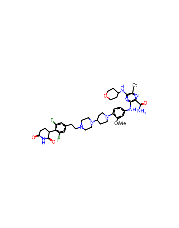 CCc1nc(C(N)=O)c(Nc2ccc(N3CCC(N4CCN(CCc5cc(F)c(C6CCC(=O)NC6=O)c(F)c5)CC4)CC3)c(OC)c2)nc1NC1CCOCC1